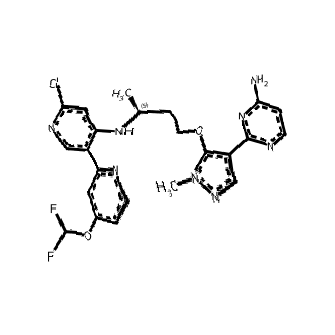 C[C@@H](CCOc1c(-c2nccc(N)n2)cnn1C)Nc1cc(Cl)ncc1-c1cc(OC(F)F)ccn1